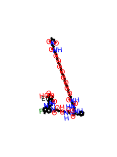 CC[C@@]1(O)C(=O)OCc2c1cc1n(c2=O)Cc2c-1nc1cc(F)c(C)c3c1c2[C@@H](NC(=O)[C@H](O)CCOCNC(=O)CNC(=O)[C@H](Cc1ccccc1)NC(=O)CNC(=O)CNC(=O)CCOCCOCCOCCOCCOCCOCCOCCOCCNC(=O)CCN1C(=O)CC(C)C1=O)CC3